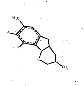 Cc1cc2c(c(F)c1F)C1OCC(C)CC1C2